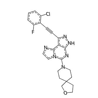 Fc1cccc(Cl)c1C#Cc1n[nH]c2nc(N3CCC4(CCOC4)CC3)n3ccnc3c12